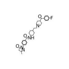 CC1=NN(c2ccc(C(=O)NC3CCC(CCN4CCC(C(=O)c5ccc(F)cc5)CC4)CC3)cc2)C(=O)C1